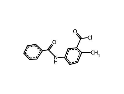 Cc1ccc(NC(=O)c2ccccc2)cc1C(=O)Cl